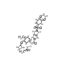 CNCC[C@@H](C(=O)N1CC2=C(C1)CN(S(=O)(=O)c1ccc3c(c1)OCCO3)C2)c1ccc(C)c(OC2CCC2)c1